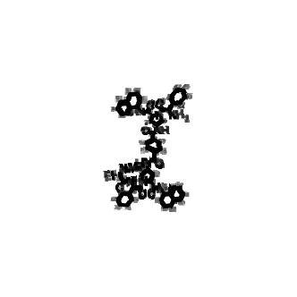 CC[C@H](NC)C(=O)N[C@H](C(=O)N1C[C@@H](NC(=O)c2ccc(C(=O)N[C@H]3C[C@@H](C(=O)N[C@@H]4CCCc5ccccc54)N(C(=O)[C@@H](N)C4CCCCC4)C3)cc2)C[C@H]1C(=O)N[C@@H]1CCCc2ccccc21)C1CCCCC1